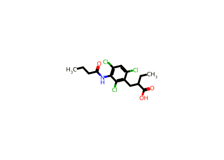 CCCC(=O)Nc1c(Cl)cc(Cl)c(CC(CC)C(=O)O)c1Cl